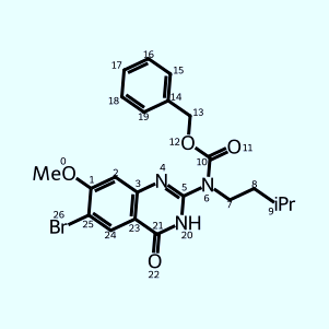 COc1cc2nc(N(CCC(C)C)C(=O)OCc3ccccc3)[nH]c(=O)c2cc1Br